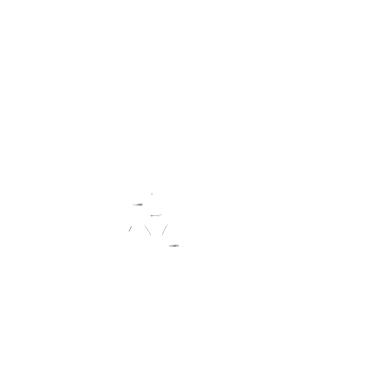 CCCCCCCCCCCCCc1cc(C(=O)O)cc(C(=O)O)c1C(=O)O